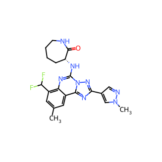 Cc1cc(C(F)F)c2nc(N[C@@H]3CCCCNC3=O)n3nc(-c4cnn(C)c4)nc3c2c1